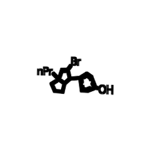 CCCC12C=C(Br)C(c3ccc(O)cc3)C1CCC2